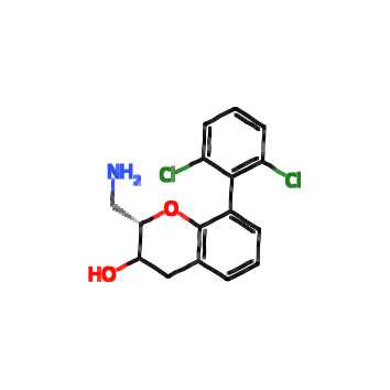 NC[C@@H]1Oc2c(cccc2-c2c(Cl)cccc2Cl)CC1O